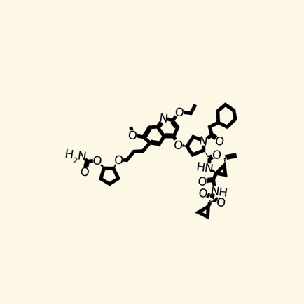 C=C[C@@H]1C[C@]1(NC(=O)[C@@H]1C[C@@H](Oc2cc(OCC)nc3cc(OC)c(CCCO[C@@H]4CCC[C@H]4OC(N)=O)cc23)CN1C(=O)CC1CCCCC1)C(=O)NS(=O)(=O)C1CC1